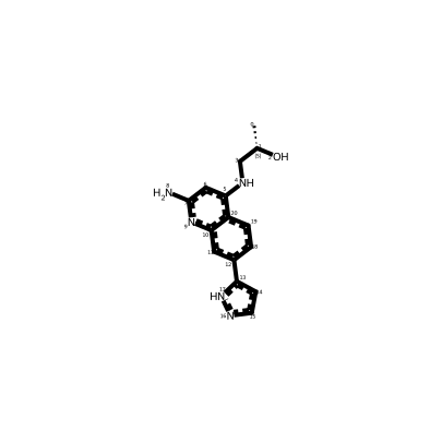 C[C@H](O)CNc1cc(N)nc2cc(-c3ccn[nH]3)ccc12